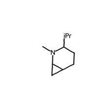 CC(C)C1CCC2CC2N1C